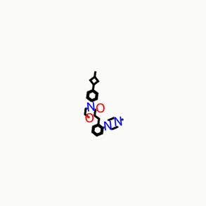 CC1CC(c2ccc(N3CCOC(Cc4ccccc4N4CCN(C)CC4)C3=O)cc2)C1